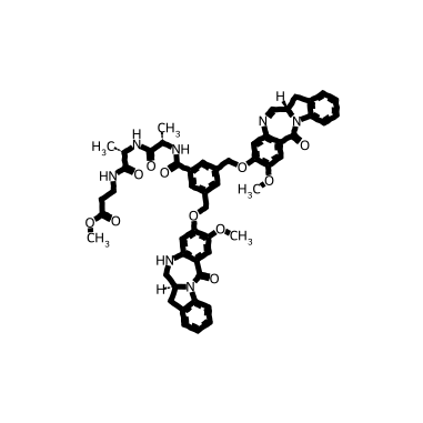 COC(=O)CCNC(=O)[C@H](C)NC(=O)[C@H](C)NC(=O)c1cc(COc2cc3c(cc2OC)C(=O)N2c4ccccc4C[C@H]2C=N3)cc(COc2cc3c(cc2OC)C(=O)N2c4ccccc4C[C@H]2CN3)c1